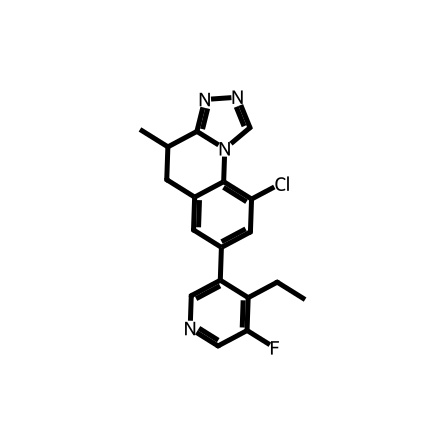 CCc1c(F)cncc1-c1cc(Cl)c2c(c1)CC(C)c1nncn1-2